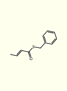 CC=CC(=O)SCc1ccccc1